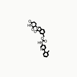 Cc1ccccc1-c1ccc(NC(=O)OCc2ccc3c(c2)C(=O)N(C2CCC(=O)NC2=O)C3)cn1